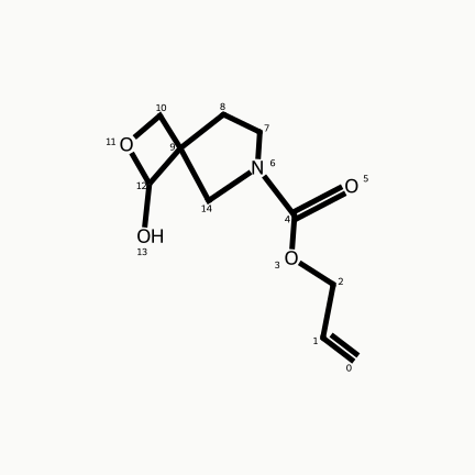 C=CCOC(=O)N1CCC2(COC2O)C1